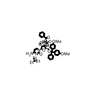 CCCCO[C@H]1[C@H](n2ccc(N)nc2=O)O[C@H](COC(c2ccccc2)(c2ccc(OC)cc2)c2ccc(OC)cc2)[C@@]1(O)O[PH](=O)OC(=O)c1ccccc1.CCN(CC)CC